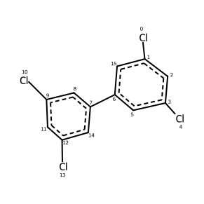 Clc1cc(Cl)cc(-c2cc(Cl)cc(Cl)c2)c1